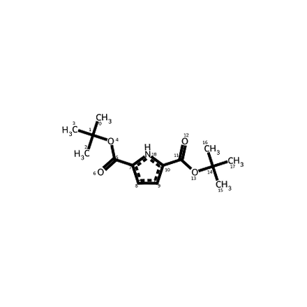 CC(C)(C)OC(=O)c1ccc(C(=O)OC(C)(C)C)[nH]1